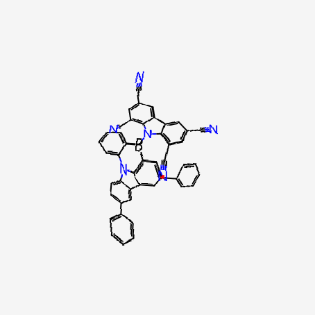 N#Cc1cc(C#N)c2c(c1)c1cc(C#N)cc(C#N)c1n2B1c2ccccc2-n2c3ccc(-c4ccccc4)cc3c3cc(-c4ccccc4)cc1c32